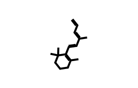 C=CC=C(C)C=CC1=C(C)CCCC1(C)C